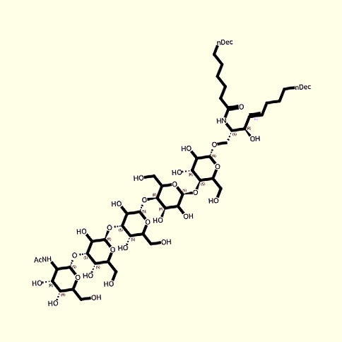 CCCCCCCCCCCCC/C=C/[C@@H](O)[C@H](CO[C@@H]1OC(CO)[C@@H](O[C@@H]2OC(CO)[C@H](O[C@@H]3OC(CO)[C@H](O)[C@H](O[C@H]4OC(CO)[C@H](O)[C@H](O[C@@H]5OC(CO)[C@H](O)[C@H](O)C5NC(C)=O)C4O)C3O)[C@H](O)C2O)[C@H](O)C1O)NC(=O)CCCCCCCCCCCCCCC